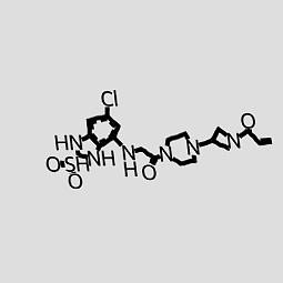 C=CC(=O)N1CC(N2CCN(C(=O)CNc3cc(Cl)cc4c3NC([SH](=O)=O)N4)CC2)C1